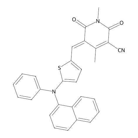 CC1=C(C#N)C(=O)N(C)C(=O)/C1=C/c1ccc(N(c2ccccc2)c2cccc3ccccc23)s1